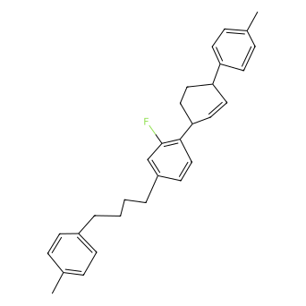 Cc1ccc(CCCCc2ccc(C3C=CC(c4ccc(C)cc4)CC3)c(F)c2)cc1